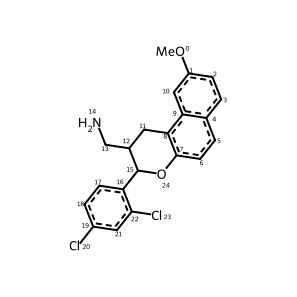 COc1ccc2ccc3c(c2c1)CC(CN)C(c1ccc(Cl)cc1Cl)O3